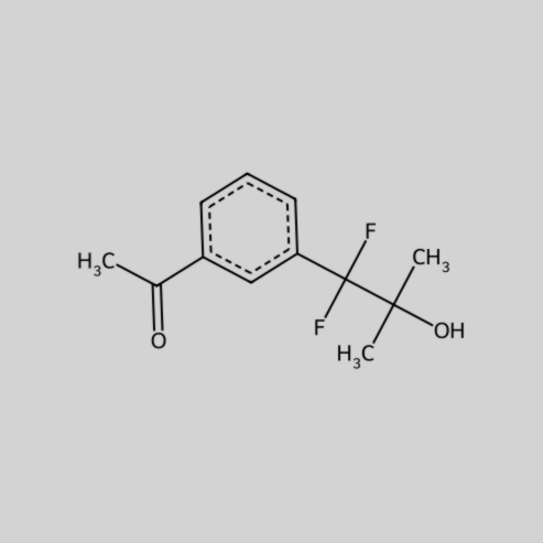 CC(=O)c1cccc(C(F)(F)C(C)(C)O)c1